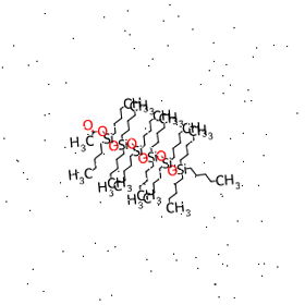 CCCCC[Si](CCCCC)(CCCCC)O[Si](CCCCC)(CCCCC)O[Si](CCCCC)(CCCCC)O[Si](CCCCC)(CCCCC)O[Si](CCCCC)(CCCCC)O[Si](CCCCC)(CCCCC)OC(C)=O